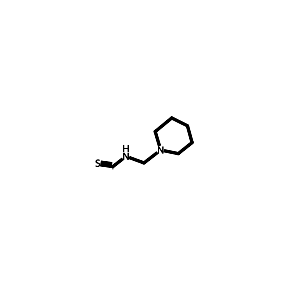 S=[C]NCN1CCCCC1